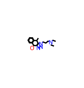 CCN(CC)CCCn1nnc2c1C(C)c1ccccc1C2=O